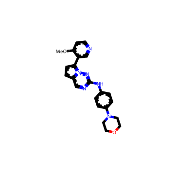 COc1ccncc1-c1ccc2cnc(Nc3ccc(N4CCOCC4)cc3)nn12